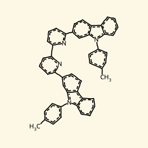 Cc1ccc(-n2c3ccccc3c3ccc(-c4cccc(-c5cccc(-c6ccc7c8ccccc8n(-c8ccc(C)cc8)c7c6)n5)n4)cc32)cc1